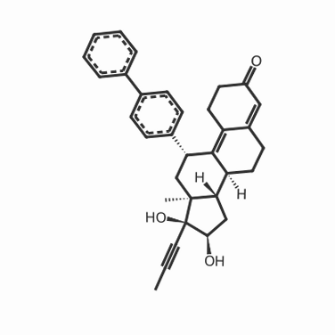 CC#C[C@@]1(O)[C@H](O)C[C@H]2[C@@H]3CCC4=CC(=O)CCC4=C3[C@@H](c3ccc(-c4ccccc4)cc3)C[C@@]21C